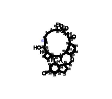 CC[C@@H]1CC/C=C/[C@H](O)[C@@H]2CC[C@H]2CN2C[C@@]3(CCc4cc(Cl)ccc43)COc3ccc(cc32)C(=O)NS1(=O)=O